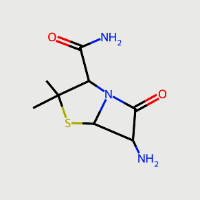 CC1(C)SC2C(N)C(=O)N2C1C(N)=O